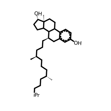 CC(C)CCC[C@@H](C)CCC[C@@H](C)CCC[C@@H]1Cc2cc(O)ccc2C2CC[C@@]3(C)C(CC[C@@H]3O)C21